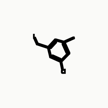 Cc1cc(Cl)cc(CI)c1